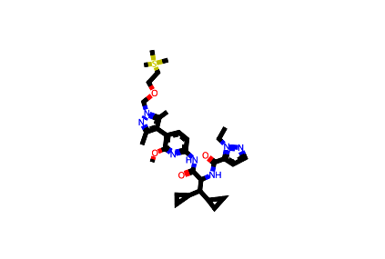 CCn1nccc1C(=O)NC(C(=O)Nc1ccc(-c2c(C)nn(COCCS(C)(C)C)c2C)c(OC)n1)C(C1CC1)C1CC1